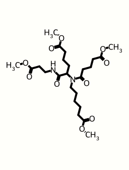 COC(=O)CCCCCN(C(=O)CCCC(=O)OC)C(CCCC(=O)OC)C(=O)NCCC(=O)OC